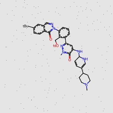 CN1CCC(C2=CNC(Nc3cc(-c4cccc(-n5ncc6cc(C(C)(C)C)ccc6c5=O)c4CO)nn(C)c3=O)C=C2)CC1